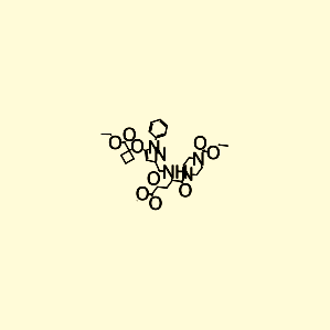 CCOC(=O)N1CCN(C(=O)C(CCC(=O)OC)NC(=O)c2cc(OC3(C(=O)OCC)CCC3)n(-c3ccccc3)n2)CC1